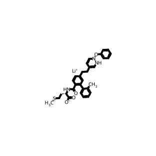 CSCC[C@H](NC(=O)c1ccc(CCC2=CNN(Oc3ccccc3)C=C2)cc1-c1ccccc1C)C(=O)[O-].[Li+]